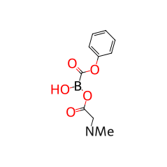 CNCC(=O)OB(O)C(=O)Oc1ccccc1